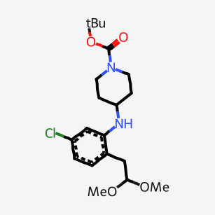 COC(Cc1ccc(Cl)cc1NC1CCN(C(=O)OC(C)(C)C)CC1)OC